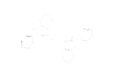 O=C(CCCCC(=O)P(=O)(c1ccccc1)c1ccccc1)P(=O)(c1ccccc1)c1ccccc1